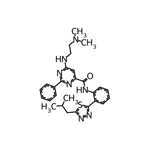 CC(C)Cc1nnc(-c2ccccc2NC(=O)c2cc(NCCN(C)C)nc(-c3ccccc3)n2)s1